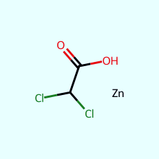 O=C(O)C(Cl)Cl.[Zn]